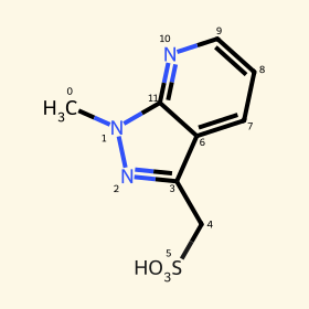 Cn1nc(CS(=O)(=O)O)c2cccnc21